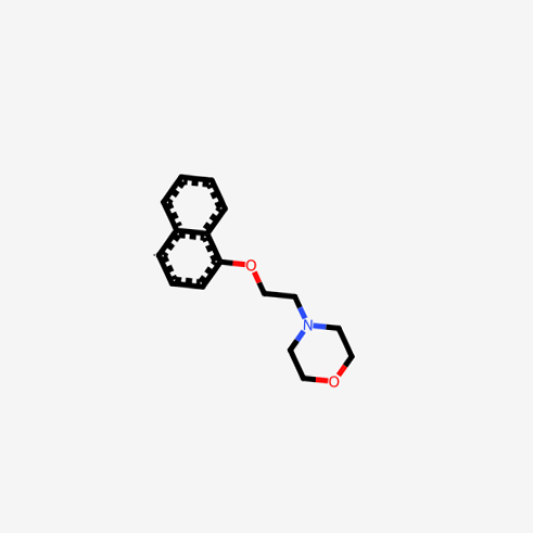 [c]1ccc(OCCN2CCOCC2)c2ccccc12